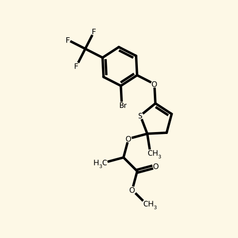 COC(=O)C(C)OC1(C)CC=C(Oc2ccc(C(F)(F)F)cc2Br)S1